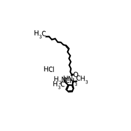 CCCCCCCC/C=C\CCCCCCCC(=O)NC(CC)c1ccccc1C(C)(C)N.Cl